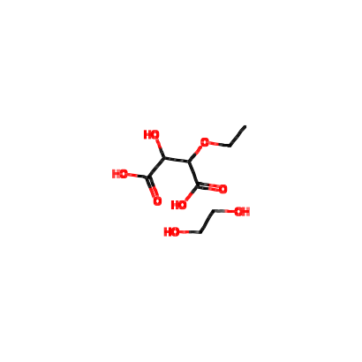 CCOC(C(=O)O)C(O)C(=O)O.OCCO